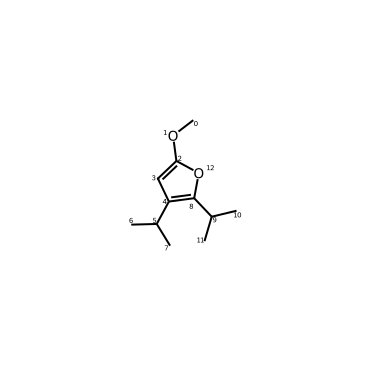 COc1cc(C(C)C)c(C(C)C)o1